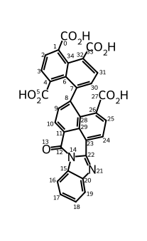 O=C(O)c1ccc(C(=O)O)c2c(-c3ccc4c(=O)n5c6ccccc6nc5c5ccc(C(=O)O)c3c45)ccc(C(=O)O)c12